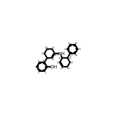 Oc1ccccc1C1C=C(NC2C=CCCC2c2ccccc2)CCC1